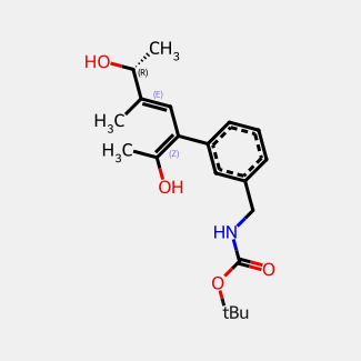 C/C(O)=C(\C=C(/C)[C@@H](C)O)c1cccc(CNC(=O)OC(C)(C)C)c1